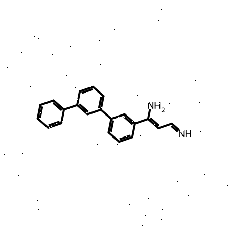 N=C/C=C(\N)c1cccc(-c2cccc(-c3ccccc3)c2)c1